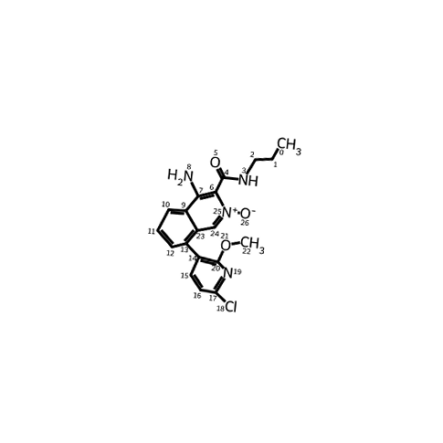 CCCNC(=O)c1c(N)c2cccc(-c3ccc(Cl)nc3OC)c2c[n+]1[O-]